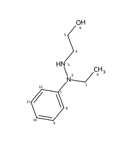 CCN(NCCO)c1ccccc1